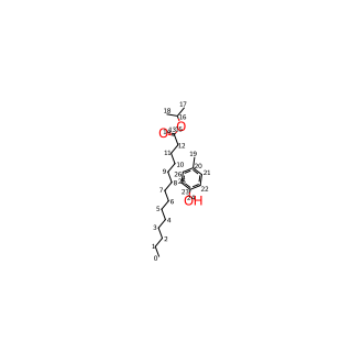 CCCCCCCCCCCCCC(=O)OC(C)C.Cc1ccc(O)cc1